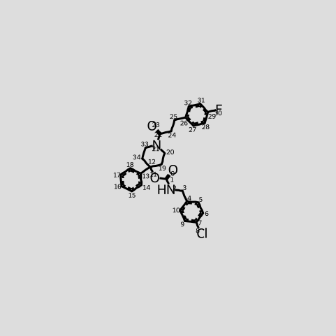 O=C(NCc1ccc(Cl)cc1)OC1(c2ccccc2)CCN(C(=O)CCc2ccc(F)cc2)CC1